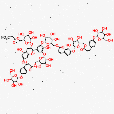 O=C(O)CC(=O)OC[C@@H]1O[C@H](Oc2cc3c(O)cc(O)cc3[o+]c2-c2cc(O[C@H]3O[C@@H](COC(=O)/C=C\c4ccc(O[C@H]5O[C@@H](CO)[C@H](O)[C@H](O)[C@H]5O)cc4)[C@H](O)[C@H](O)[C@H]3O)c(O)c(O[C@H]3O[C@H](COC(=O)/C=C\c4ccc(O[C@H]5O[C@@H](COC(=O)/C=C\c6ccc(O[C@H]7O[C@@H](CO)[C@H](O)[C@H](O)[C@H]7O)cc6)[C@H](O)[C@H](O)[C@H]5O)cc4)[C@@H](O)[C@@H](O)[C@H]3O)c2)[C@H](O)[C@@H](O)[C@H]1O